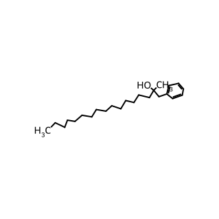 CCCCCCCCCCCCCCCC(C)(O)Cc1ccccc1